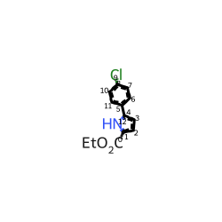 CCOC(=O)c1ccc(-c2ccc(Cl)cc2)[nH]1